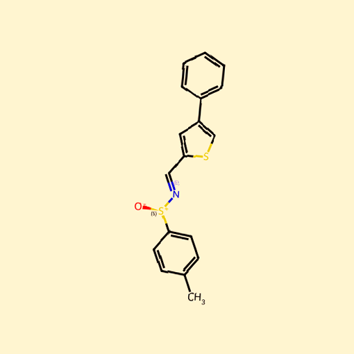 Cc1ccc([S@@+]([O-])/N=C/c2cc(-c3ccccc3)cs2)cc1